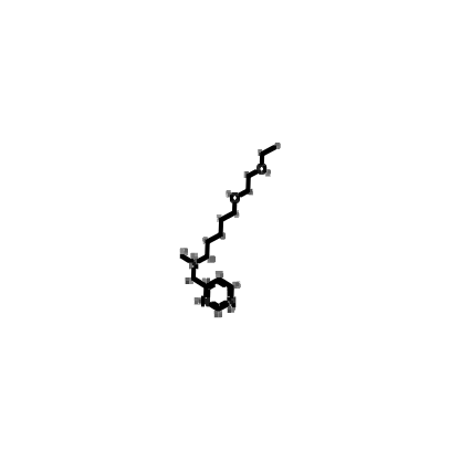 CCOCCOCCCCCN(C)Cc1ccncn1